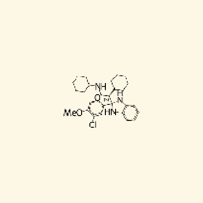 COc1ccc(C2([C@@H](C(=O)NC3CCCCC3)C3CCCCC3)Nc3ccccc3N2)cc1Cl